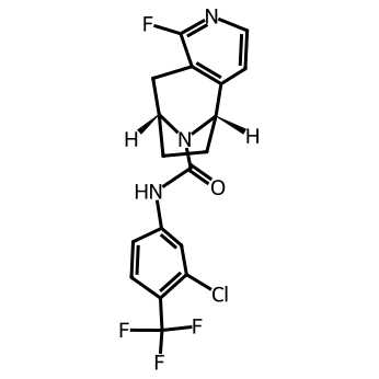 O=C(Nc1ccc(C(F)(F)F)c(Cl)c1)N1[C@@H]2CC[C@H]1c1ccnc(F)c1C2